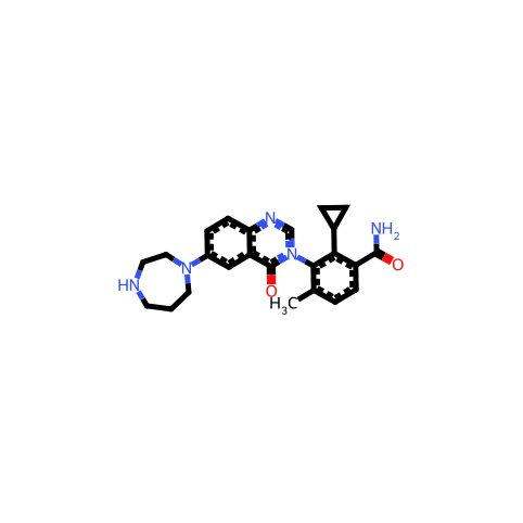 Cc1ccc(C(N)=O)c(C2CC2)c1-n1cnc2ccc(N3CCCNCC3)cc2c1=O